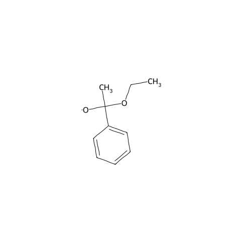 CCOC(C)([O])c1ccccc1